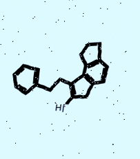 [Hf][C]1=C(CCc2ccccc2)c2c(ccc3c2CCC3)C1